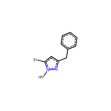 CCCn1nc(Cc2ccccc2)cc1CC